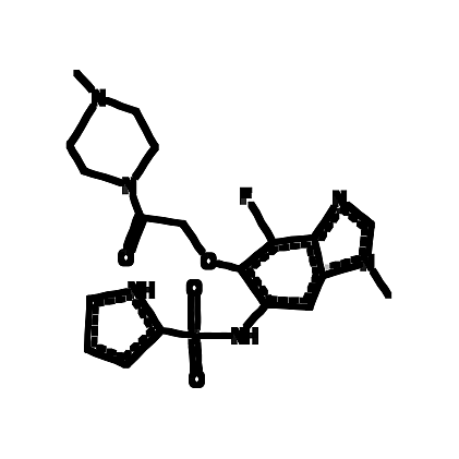 CN1CCN(C(=O)COc2c(NS(=O)(=O)c3ccc[nH]3)cc3c(ncn3C)c2F)CC1